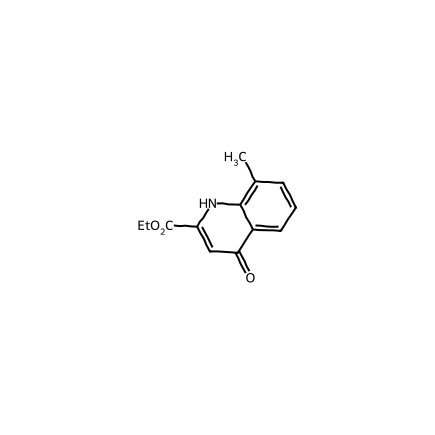 CCOC(=O)c1cc(=O)c2cccc(C)c2[nH]1